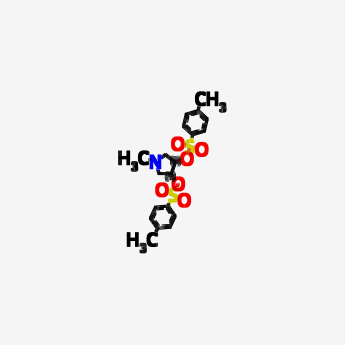 Cc1ccc(S(=O)(=O)O[C@H]2CN(C)C[C@H]2OS(=O)(=O)c2ccc(C)cc2)cc1